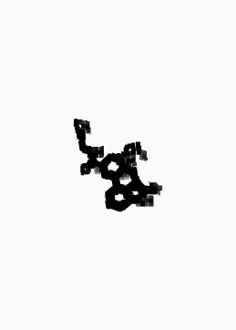 C#CCNC(=O)[C@@H]1C=C2c3cccc4[nH]c(Br)c(c34)C[C@H]2N(C)C1